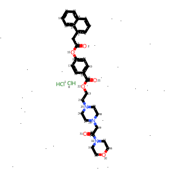 Cl.Cl.O=C(Cc1cccc2ccccc12)Oc1ccc(C(=O)OCCN2CCN(CC(=O)N3CCOCC3)CC2)cc1